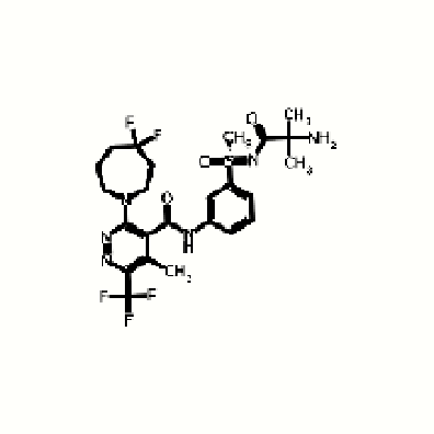 Cc1c(C(F)(F)F)nnc(N2CCCC(F)(F)CC2)c1C(=O)Nc1cccc([S@@](C)(=O)=NC(=O)C(C)(C)N)c1